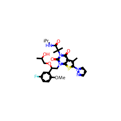 COc1ccc(F)cc1C(Cn1c(=O)n(C(C)(C)C(=O)NC(C)C)c(=O)c2c(C)c(-n3cccn3)sc21)OCC(C)O